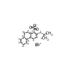 C=C(C)Cc1ccc2c(ccc3ccccc32)c1S(=O)(=O)[O-].[Rb+]